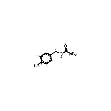 CCC(C)C(=O)OCc1ccc(Cl)cc1